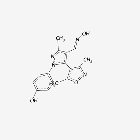 Cc1nn(-c2ccc(O)cc2)c(-c2c(C)noc2C)c1C=NO